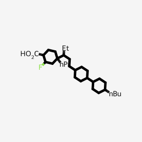 CCCCC1CCC(C2CCC(CCC(CC)C3(CCC)CCC(C(=O)O)C(F)C3)CC2)CC1